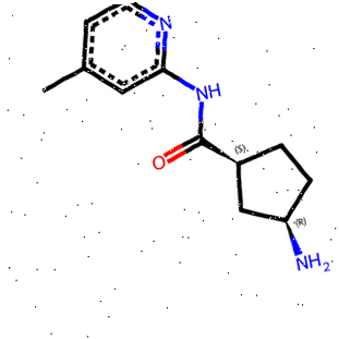 Cc1ccnc(NC(=O)[C@H]2CC[C@@H](N)C2)c1